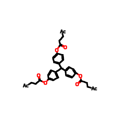 CC(=O)CCC(=O)Oc1ccc([C](c2ccc(OC(=O)CCC(C)=O)cc2)c2ccc(OC(=O)CCC(C)=O)cc2)cc1